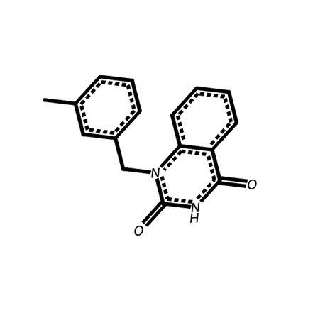 Cc1cccc(Cn2c(=O)[nH]c(=O)c3ccccc32)c1